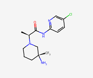 C[C@@H](C(=O)Nc1ccc(Cl)cn1)N1CCC[C@](N)(C(F)(F)F)C1